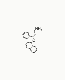 NCC[C@@H](Oc1cccc2ccccc12)c1ccccc1